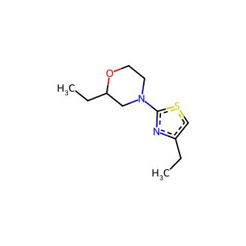 CCc1csc(N2CCOC(CC)C2)n1